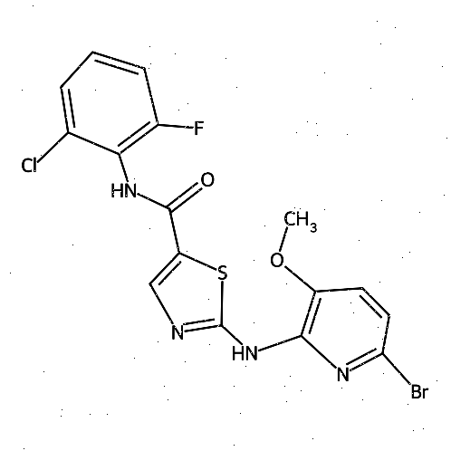 COc1ccc(Br)nc1Nc1ncc(C(=O)Nc2c(F)cccc2Cl)s1